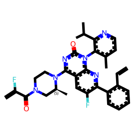 C=Cc1ccccc1-c1nc2c(cc1F)c(N1CCN(C(=O)C(=C)F)C[C@@H]1C)nc(=O)n2-c1c(C)ccnc1C(C)C